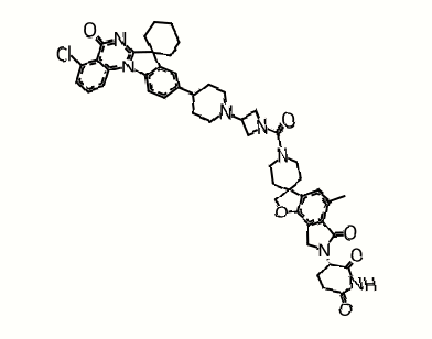 Cc1cc2c(c3c1C(=O)N([C@H]1CCC(=O)NC1=O)C3)OCC21CCN(C(=O)N2CC(N3CCC(c4ccc5c(c4)C4(CCCCC4)c4nc(=O)c6c(Cl)cccc6n4-5)CC3)C2)CC1